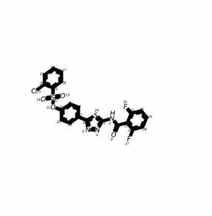 O=C(Nc1nnc(-c2ccc(OS(=O)(=O)c3ccccc3Cl)cc2)s1)c1c(F)cccc1F